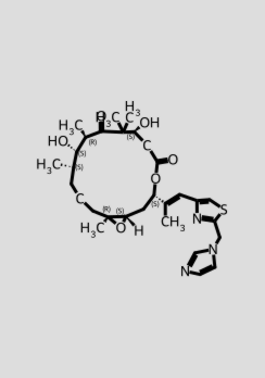 CC(=Cc1csc(Cn2ccnc2)n1)[C@@H]1C[C@@H]2O[C@]2(C)CCC[C@H](C)[C@H](O)[C@@H](C)C(=O)C(C)(C)[C@@H](O)CC(=O)O1